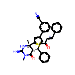 CN1C(=N)N[C@](C)(c2cc(-c3cccc(C#N)c3)cs2)[C@H](C(CC(=O)/C=C/c2ccccc2)c2ccccc2)C1=O